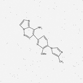 COc1nc(-c2cnn3ccnc3c2N)ccc1-n1cnc(C)c1